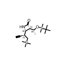 C#C[C@H](C[Si](C)(C)C)[C@@H]1NC(=O)[C@@H]1[C@@H](C)O[Si](C)(C)C(C)(C)C